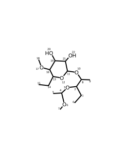 CCC(OC(C)OC)C(C)OC1OC(CC)C(OC)C(O)C1O